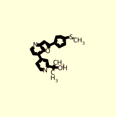 CSc1ccc(-c2cc3nccc(-c4ccnc(C(C)(C)O)c4)c3o2)cc1